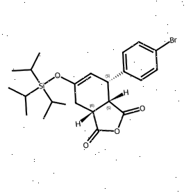 CC(C)[Si](OC1=C[C@H](c2ccc(Br)cc2)[C@@H]2C(=O)OC(=O)[C@@H]2C1)(C(C)C)C(C)C